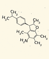 Cc1c(C)c2c(c(C)c1N)[C@@H](c1ccc(C(C)C)cc1)[C@@H](C)O2